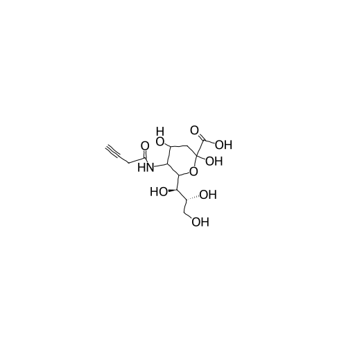 C#CCC(=O)NC1C(O)CC(O)(C(=O)O)OC1[C@H](O)[C@H](O)CO